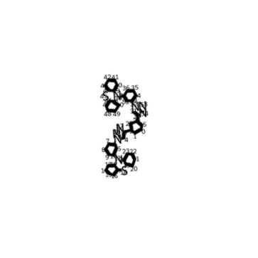 c1cc(-c2cn(-c3cccc(N4c5ccccc5Sc5ccccc54)c3)nn2)cc(-c2cn(-c3cccc(N4c5ccccc5Sc5ccccc54)c3)nn2)c1